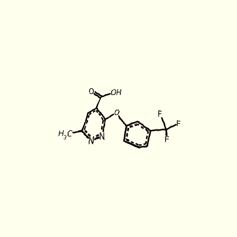 Cc1cc(C(=O)O)c(Oc2cccc(C(F)(F)F)c2)nn1